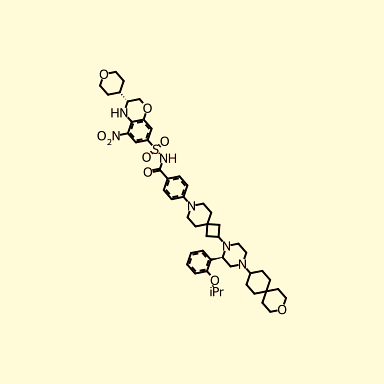 CC(C)Oc1ccccc1[C@@H]1CN(C2CCC3(CCOCC3)CC2)CCN1C1CC2(CCN(c3ccc(C(=O)NS(=O)(=O)c4cc5c(c([N+](=O)[O-])c4)N[C@H](C4CCOCC4)CO5)cc3)CC2)C1